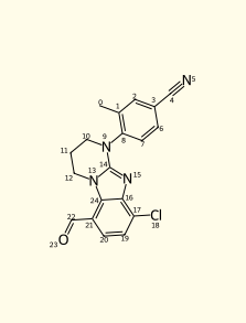 Cc1cc(C#N)ccc1N1CCCn2c1nc1c(Cl)ccc(C=O)c12